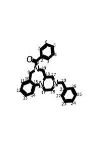 O=C(c1ccccc1)N1Cc2ccccc2N2CCN(Cc3ccccc3)CC2C1